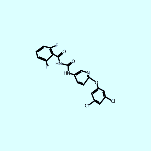 O=C(NC(=O)c1c(F)cccc1F)Nc1ccc(Oc2cc(Cl)cc(Cl)c2)nc1